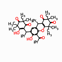 CC(C)C(=O)c1c(O)c(C(C2=C(O)C(C)(C)C(=O)C(C)(C)C2=O)C(C)C)cc2c1OC1=C(C(=O)C(C)(C)C(=O)C1(C)C)C2C(C)C